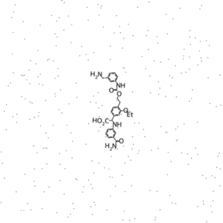 CCOc1cc(C(Nc2cccc(C(N)=O)c2)C(=O)O)ccc1CCOC(=O)Nc1cccc(CN)c1